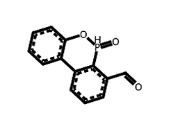 O=Cc1cccc2c1[PH](=O)Oc1ccccc1-2